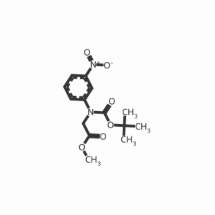 COC(=O)CN(C(=O)OC(C)(C)C)c1cccc([N+](=O)[O-])c1